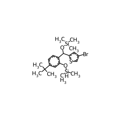 C[SiH](C)Oc1cc(C(C)(C)C)ccc1C(O[Si](C)(C)C)c1cc(Br)cs1